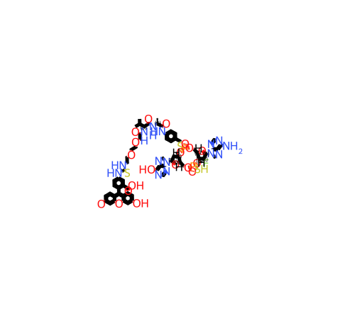 CC(C)[C@H](NC(=O)COCCOCCNC(=S)Nc1ccc(-c2c3ccc(=O)cc-3oc3cc(O)ccc23)c(C(=O)O)c1)C(=O)N[C@@H](C)C(=O)Nc1ccc(CSP2(=O)OC[C@H]3O[C@@H](n4cnc5c(N)ncnc54)[C@H](F)[C@@H]3OP(=O)(S)OC[C@H]3O[C@@H](n4cnc5c(O)ncnc54)C[C@@H]3O2)cc1